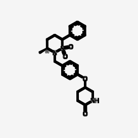 C[C@H]1CCC(c2ccccc2)S(=O)(=O)N1Cc1ccc(OC2CCC(=O)NC2)cc1